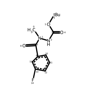 CN(NC(=O)OC(C)(C)C)C(=O)c1cccc(F)c1